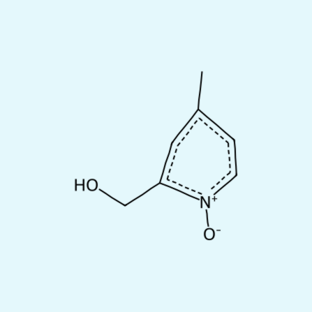 Cc1cc[n+]([O-])c(CO)c1